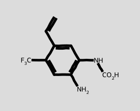 C=Cc1cc(NC(=O)O)c(N)cc1C(F)(F)F